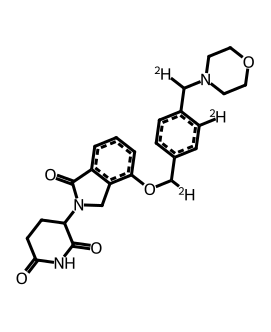 [2H]c1cc(C([2H])Oc2cccc3c2CN(C2CCC(=O)NC2=O)C3=O)ccc1C([2H])N1CCOCC1